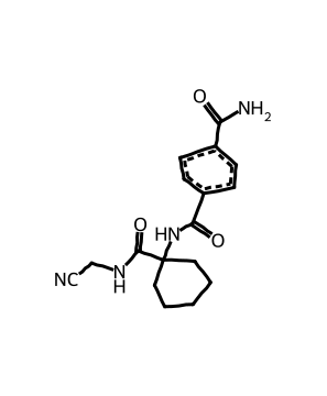 N#CCNC(=O)C1(NC(=O)c2ccc(C(N)=O)cc2)CCCCC1